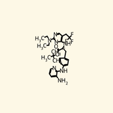 CCN(CC)c1ncc(CC(F)(F)F)c(N[C@@H](Cc2ccc(Nc3ncccc3N)cc2)C(=O)OC(C)(C)C)n1